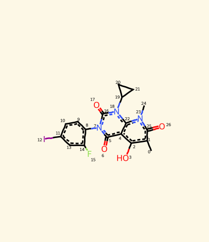 Cc1c(O)c2c(=O)n(-c3ccc(I)cc3F)c(=O)n(C3CC3)c2n(C)c1=O